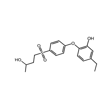 CCc1ccc(Oc2ccc(S(=O)(=O)CCC(C)O)cc2)c(O)c1